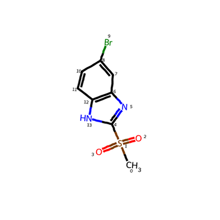 CS(=O)(=O)c1nc2cc(Br)ccc2[nH]1